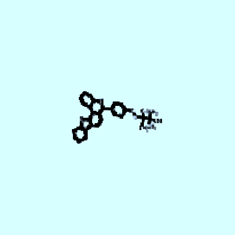 CC(C)(O)C(C)(C)OBc1ccc(-c2nc3ccccc3c3c2ccc2c4ccccc4sc23)cc1